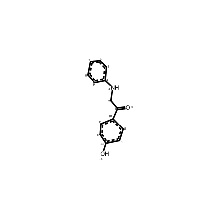 O=C(CNc1ccccc1)c1ccc(O)cc1